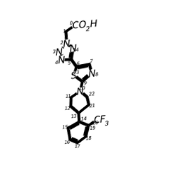 O=C(O)Cn1nnc(-c2cnc(N3CCC(c4ccccc4C(F)(F)F)CC3)s2)n1